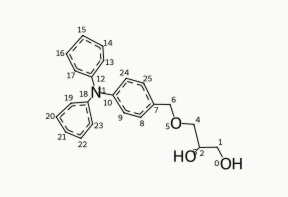 OCC(O)COCc1ccc(N(c2ccccc2)c2ccccc2)cc1